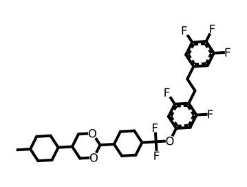 CC1CCC(C2COC(C3CCC(C(F)(F)Oc4cc(F)c(CCc5cc(F)c(F)c(F)c5)c(F)c4)CC3)OC2)CC1